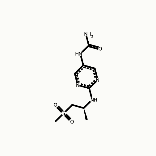 C[C@@H](CS(C)(=O)=O)Nc1ncc(NC(N)=O)cn1